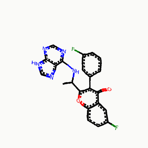 CC(Nc1ncnc2[nH]cnc12)c1oc2ccc(F)cc2c(=O)c1-c1cccc(F)c1